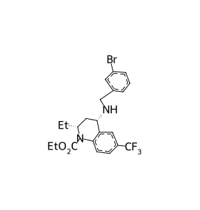 CCOC(=O)N1c2ccc(C(F)(F)F)cc2[C@@H](NCc2cccc(Br)c2)C[C@H]1CC